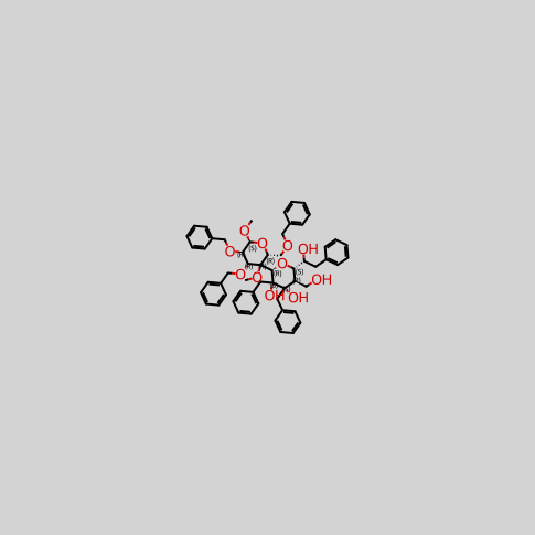 CO[C@H]1O[C@H](COCc2ccccc2)[C@](OC)([C@@H]2O[C@H](C(O)Cc3ccccc3)[C@@H](CO)[C@@](O)(Cc3ccccc3)[C@]2(O)Cc2ccccc2)[C@H](OCc2ccccc2)[C@H]1OCc1ccccc1